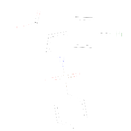 COC(=O)c1c(I)n(S(=O)(=O)c2ccccc2)c2cc(Br)ccc12